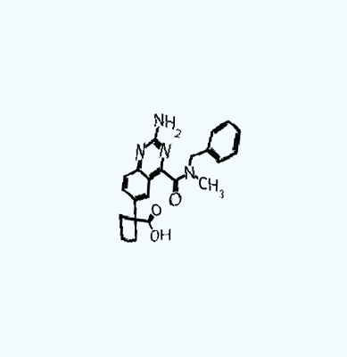 CN(Cc1ccccc1)C(=O)c1nc(N)nc2ccc(C3(C(=O)O)CCC3)cc12